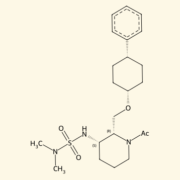 CC(=O)N1CCC[C@H](NS(=O)(=O)N(C)C)[C@@H]1CO[C@H]1CC[C@@H](c2ccccc2)CC1